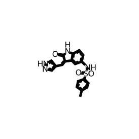 Cc1ccc(S(=O)(=O)Nc2ccc3c(c2)/C(=C/c2cn[nH]c2)C(=O)N3)cc1